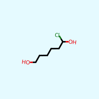 OCCCCCC(O)Cl